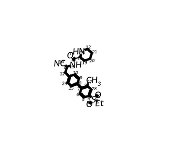 CCS(=O)(=O)c1ccc(-c2ccc(CC(C#N)NC(=O)[C@@H]3CCCCN3)cc2)c(C)c1